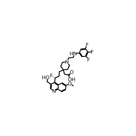 COc1ccc2ncc(CO)c([C@H](F)CCC3(CC(=O)O)CCN(CCNc4cc(F)c(F)c(F)c4)CC3)c2c1